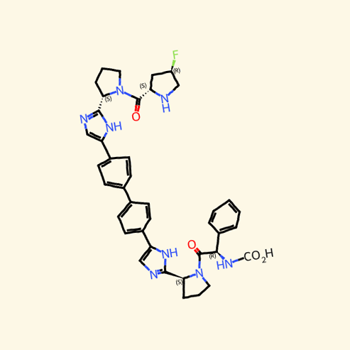 O=C(O)N[C@@H](C(=O)N1CCC[C@H]1c1ncc(-c2ccc(-c3ccc(-c4cnc([C@@H]5CCCN5C(=O)[C@@H]5C[C@@H](F)CN5)[nH]4)cc3)cc2)[nH]1)c1ccccc1